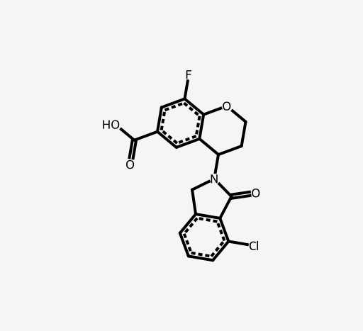 O=C(O)c1cc(F)c2c(c1)C(N1Cc3cccc(Cl)c3C1=O)CCO2